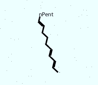 [CH2]/C=C/C=C/CCC/C=C/CCCCC